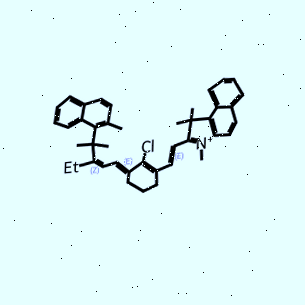 CC/C(=C/C=C1\CCCC(/C=C/C2=[N+](C)c3ccc4ccccc4c3C2(C)C)=C1Cl)C(C)(C)c1c(C)ccc2ccccc12